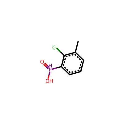 Cc1cccc([PH](=O)O)c1Cl